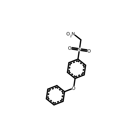 O=[N+]([O-])CS(=O)(=O)c1ccc(Oc2ccccc2)cc1